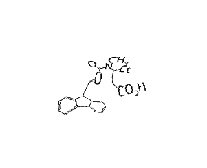 CCC(CC(=O)O)N(C)C(=O)OCC1c2ccccc2-c2ccccc21